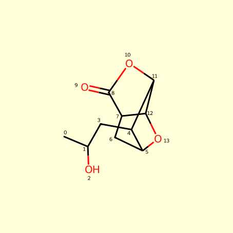 CC(O)CC1C2CC3C(=O)OC1C3O2